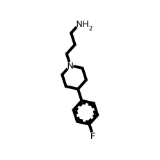 NCCCN1CCC(c2ccc(F)cc2)CC1